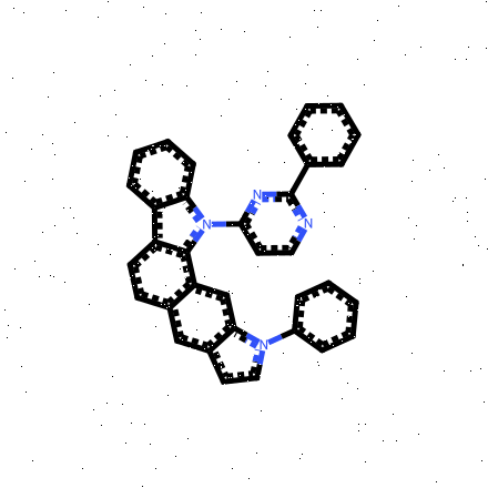 c1ccc(-c2nccc(-n3c4ccccc4c4ccc5cc6ccn(-c7ccccc7)c6cc5c43)n2)cc1